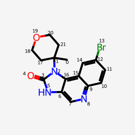 CC1(n2c(=O)[nH]c3cnc4ccc(Br)cc4c32)CCOCC1